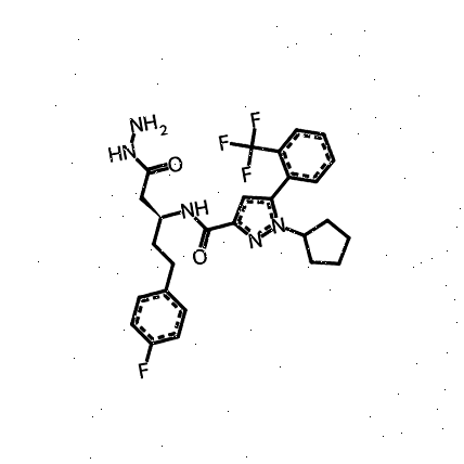 NNC(=O)C[C@H](CCc1ccc(F)cc1)NC(=O)c1cc(-c2ccccc2C(F)(F)F)n(C2CCCC2)n1